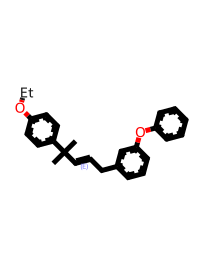 CCOc1ccc(C(C)(C)/C=C/Cc2cccc(Oc3ccccc3)c2)cc1